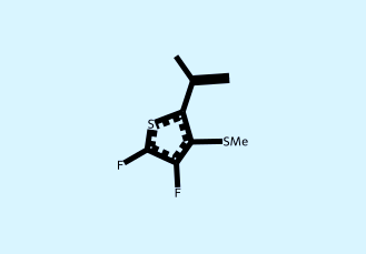 C=C(C)c1sc(F)c(F)c1SC